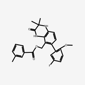 COc1ccc(F)cc1-c1ccc2c(c1COC(=O)c1cccc(C)c1)NC(=O)C(C)(C)N2